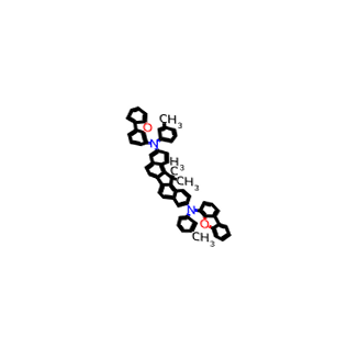 Cc1cccc(N(c2ccc3c4c(ccc3c2)-c2ccc3cc(N(c5cccc(C)c5)c5cccc6c5oc5ccccc56)ccc3c2C4(C)C)c2cccc3c2oc2ccccc23)c1